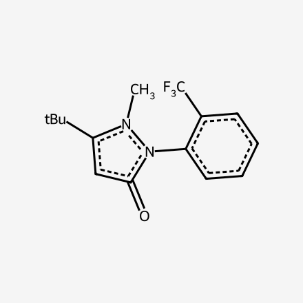 Cn1c(C(C)(C)C)cc(=O)n1-c1ccccc1C(F)(F)F